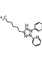 CCCCCCC1=NN(c2ccccn2)N(c2ccccc2)N1